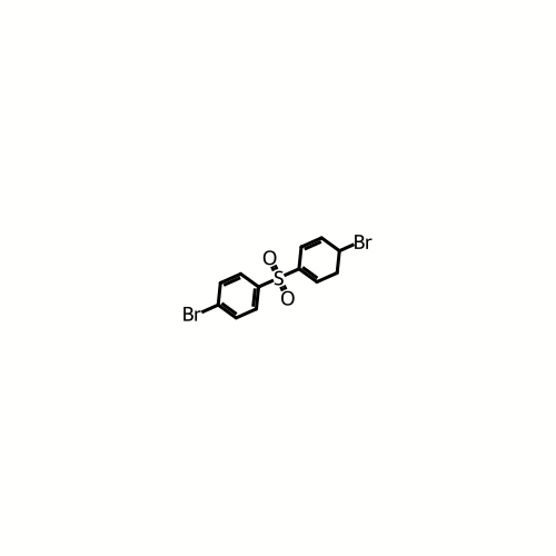 O=S(=O)(C1=CCC(Br)C=C1)c1ccc(Br)cc1